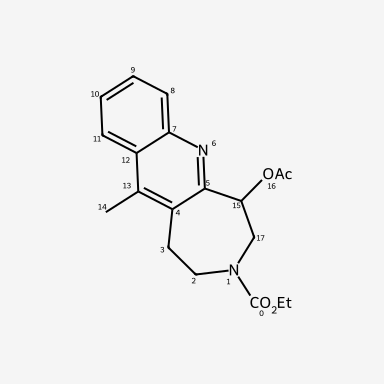 CCOC(=O)N1CCc2c(nc3ccccc3c2C)C(OC(C)=O)C1